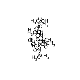 CC(C)C1=C2[C@H]3CC[C@@H]4[C@@]5(C)CC[C@H](OC(=O)CC(C)(C)C(=O)O)C(C)(C)[C@@H]5CC[C@@]4(C)[C@]3(C)CC[C@@]2([C@H](O)CN(CCN(C)C)C2OC2c2ccc(Cl)cc2)CC1=O